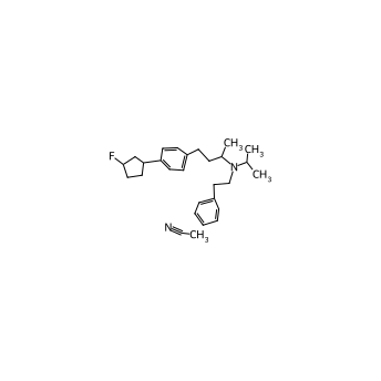 CC#N.CC(C)N(CCc1ccccc1)C(C)CCc1ccc(C2CCC(F)C2)cc1